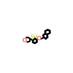 SC1(c2cccc(OCc3ccc4ccccc4c3)c2)CCOCC1